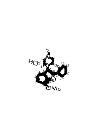 COc1cccc2c(N3CCN(C)CC3)c(-c3ccccc3)oc12.Cl